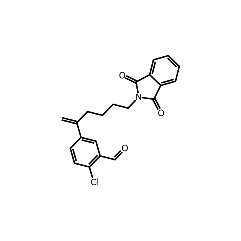 C=C(CCCCN1C(=O)c2ccccc2C1=O)c1ccc(Cl)c(C=O)c1